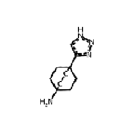 NC12CCC(c3c[nH]nn3)(CC1)CC2